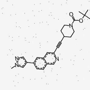 Cn1cc(-c2ccc3cnc(C#CC4CCN(C(=O)OC(C)(C)C)CC4)cc3c2)cn1